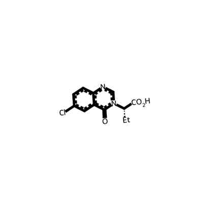 CC[C@@H](C(=O)O)n1cnc2ccc(Cl)cc2c1=O